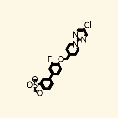 O=S1(=O)COc2ccc(-c3ccc(OCC4CCN(c5ncc(Cl)cn5)CC4)c(F)c3)cc21